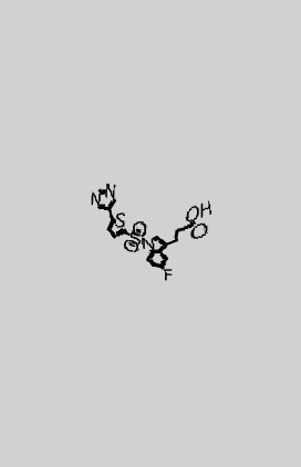 O=C(O)CCc1cn(S(=O)(=O)c2ccc(-c3cncnc3)s2)c2ccc(F)cc12